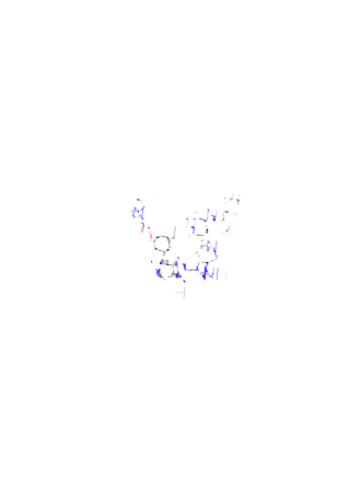 O=C(Nc1cncc(-c2cc3c(-c4nc5c(-c6cc(F)cc(OCCN7CCCC7)c6)nccc5[nH]4)n[nH]c3cn2)c1)C1CCCC1